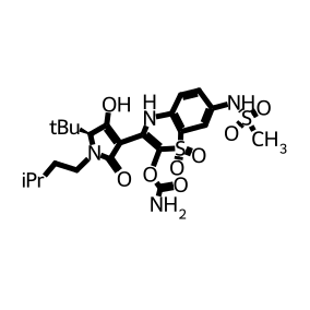 CC(C)CCN1C(=O)C(C2=C(OC(N)=O)S(=O)(=O)c3cc(NS(C)(=O)=O)ccc3N2)=C(O)[C@@H]1C(C)(C)C